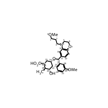 COCCCN1CCOc2ccc(CO[C@H]3CN(C(=O)O)C(C)[C@@H](O)[C@H]3c3ccc(OC)cc3)cc21